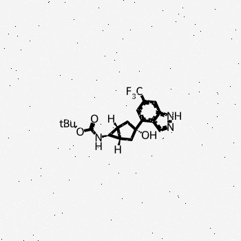 CC(C)(C)OC(=O)N[C@H]1[C@@H]2C[C@@](O)(c3cc(C(F)(F)F)cc4[nH]ncc34)C[C@@H]21